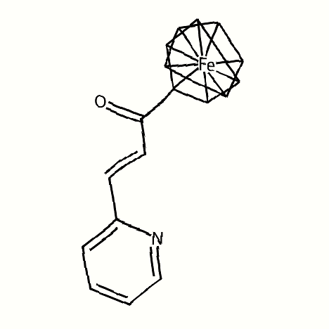 O=C(C=Cc1ccccn1)[C]12[CH]3[CH]4[CH]5[CH]1[Fe]45321678[CH]2[CH]1[CH]6[CH]7[CH]28